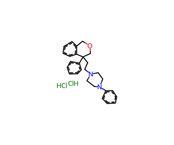 Cl.Cl.c1ccc(N2CCN(CCC3(c4ccccc4)COCc4ccccc43)CC2)cc1